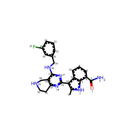 Cc1[nH]c2c(C(N)=O)cccc2c1-c1nc2c(c(NCc3cccc(F)c3)n1)CNCC2